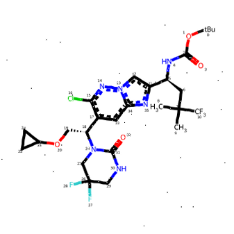 CC(C)(C)OC(=O)N[C@@H](CC(C)(C)C(F)(F)F)c1cn2nc(Cl)c([C@@H](COC3CC3)N3CC(F)(F)CNC3=O)cc2n1